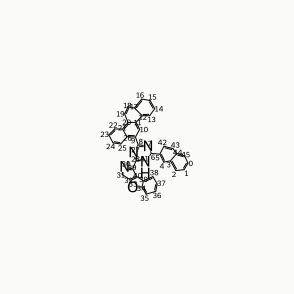 c1ccc2cc(C3N=C(c4cc5c6ccccc6ccc5c5ccccc45)N=C(C4=NCc5oc6ccccc6c54)N3)ccc2c1